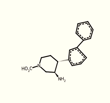 N[C@H]1CN(C(=O)O)CC[C@@H]1c1cccc(-c2ccccc2)c1